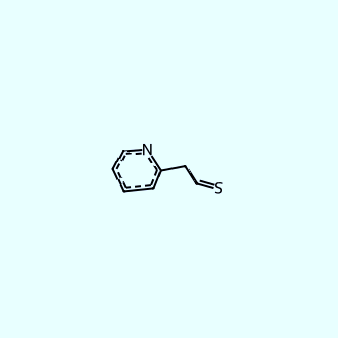 S=CCc1ccccn1